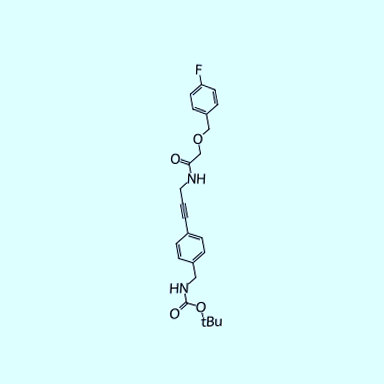 CC(C)(C)OC(=O)NCc1ccc(C#CCNC(=O)COCc2ccc(F)cc2)cc1